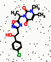 Cc1cc(=O)n([C@H](C)c2nc(C[C@H](O)c3ccc(Cl)cc3)no2)c(=O)n1C